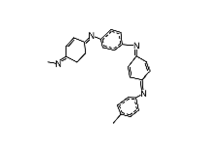 CN=C1C=CC(=Nc2ccc(N=C3C=CC(=Nc4ccc(C)cc4)C=C3)cc2)CC1